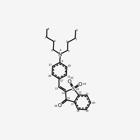 CCCCN(CCCC)c1ccc(C=C2C(=O)c3ccccc3S2(=O)=O)cc1